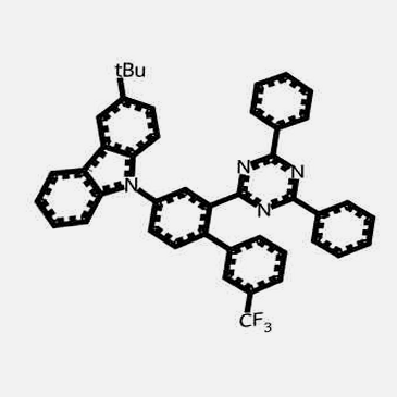 CC(C)(C)c1ccc2c(c1)c1ccccc1n2-c1ccc(-c2cccc(C(F)(F)F)c2)c(-c2nc(-c3ccccc3)nc(-c3ccccc3)n2)c1